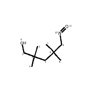 CC(C)(CO)CC(C)(C)CN=O